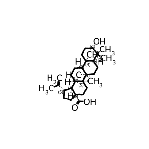 C=C(C)[C@H]1CC[C@]2(C(=O)O)CC[C@@]3(C)[C@H](CC[C@H]4[C@@]5(C)CC[C@H](O)C(C)(C)[C@H]5CC[C@]43C)[C@H]12